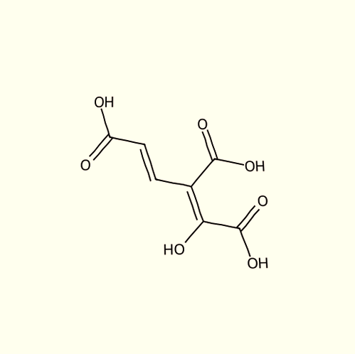 O=C(O)/C=C/C(C(=O)O)=C(\O)C(=O)O